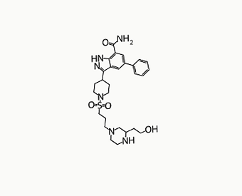 NC(=O)c1cc(-c2ccccc2)cc2c(C3CCN(S(=O)(=O)CCCN4CCNC(CCO)C4)CC3)n[nH]c12